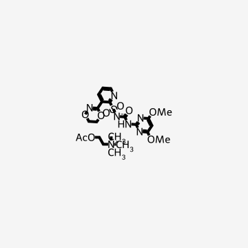 CC(=O)OCC[N+](C)(C)C.COc1cc(OC)nc(NC(=O)[N-]S(=O)(=O)c2ncccc2C2=NOCCO2)n1